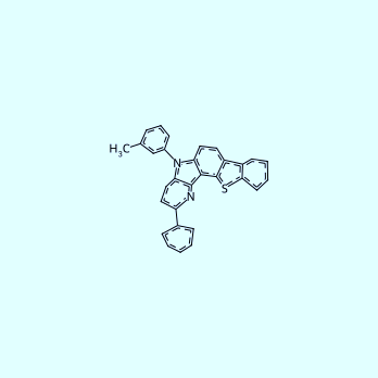 Cc1cccc(-n2c3ccc(-c4ccccc4)nc3c3c4sc5ccccc5c4ccc32)c1